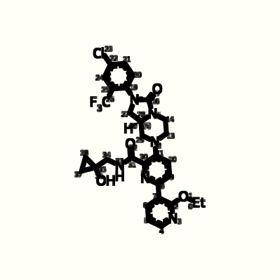 CCOc1ncccc1-c1ccc(N2CCN3C(=O)N(c4ccc(Cl)cc4C(F)(F)F)C[C@@H]3C2)c(C(=O)NCC2(O)CC2)n1